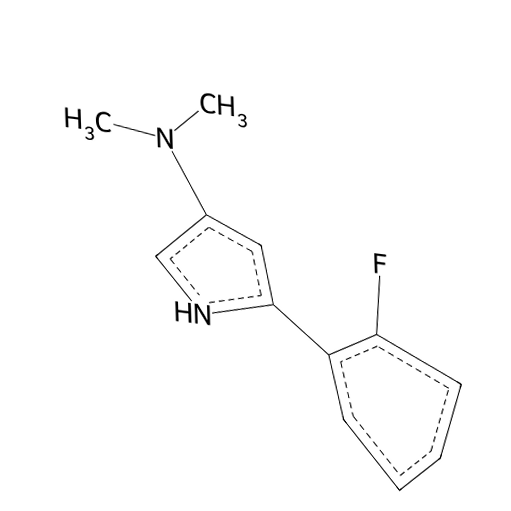 CN(C)c1c[nH]c(-c2ccccc2F)c1